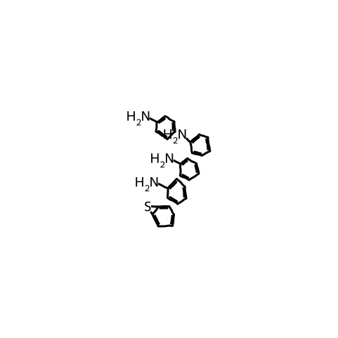 Nc1ccccc1.Nc1ccccc1.Nc1ccccc1.Nc1ccccc1.c1ccc2c(c1)S2